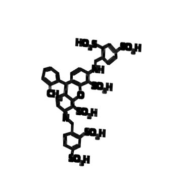 Cc1ccccc1-c1c2cc/c(=N/Cc3ccc(S(=O)(=O)O)cc3S(=O)(=O)O)c(S(=O)(=O)O)c-2oc2c(S(=O)(=O)O)c(NCc3ccc(S(=O)(=O)O)cc3S(=O)(=O)O)ccc12